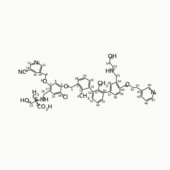 Cc1c(COc2cc(OCc3cncc(C#N)c3)c(CN[C@@](C)(CO)C(=O)O)cc2Cl)cccc1-c1cccc(-c2ccc(OCCc3cccnc3)c(CNCCO)c2)c1C